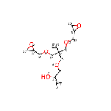 CCC(O)COCC(CC)(COCC1CO1)COCC1CO1